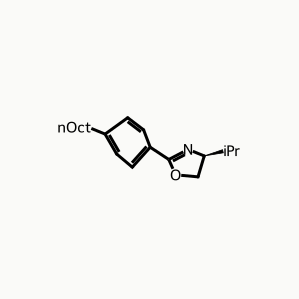 CCCCCCCCc1ccc(C2=N[C@@H](C(C)C)CO2)cc1